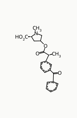 C[C@H](C(=O)OC1C[C@@H](C(=O)O)N(C)C1)c1cccc(C(=O)c2ccccc2)c1